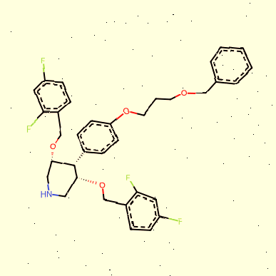 Fc1ccc(CO[C@H]2CNC[C@@H](OCc3ccc(F)cc3F)[C@H]2c2ccc(OCCCOCc3ccccc3)cc2)c(F)c1